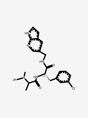 CC(C)N(C)C(C)C(=O)N[C@@H](Cc1cccc(Cl)c1)C(=O)NCc1cnc2[nH]ccc2c1